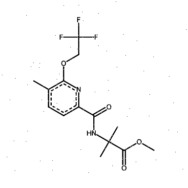 COC(=O)C(C)(C)NC(=O)c1ccc(C)c(OCC(F)(F)F)n1